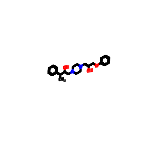 CC(c1ccccc1)C(O)CN1CCN(CC(O)COc2ccccc2)CC1